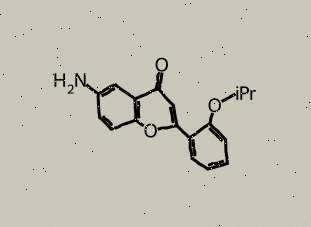 CC(C)Oc1ccccc1-c1cc(=O)c2cc(N)ccc2o1